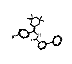 CC1(C)CC(=C(NC(=O)c2cccc(-c3ccccc3)c2)c2ccc(O)cc2)CC(C)(C)C1